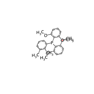 COc1cccc(OC)c1P(c1cccc(C)c1C)c1c(OC)cccc1OC